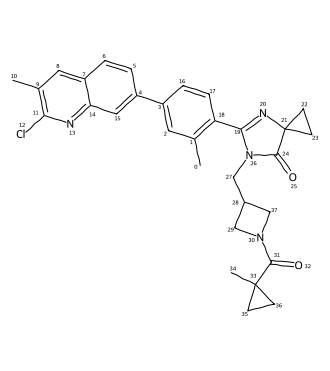 Cc1cc(-c2ccc3cc(C)c(Cl)nc3c2)ccc1C1=NC2(CC2)C(=O)N1CC1CN(C(=O)C2(C)CC2)C1